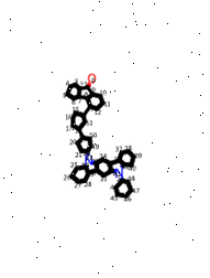 O=C1c2ccccc2-c2c1cccc2-c1cccc(-c2ccc(-n3c4ccccc4c4cc5c(cc43)c3ccccc3n5-c3ccccc3)cc2)c1